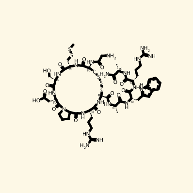 CSSC[C@@H]1NC(=O)[C@@H](NC(=O)CN)CSSC[C@@H](C(=O)N[C@@H](C)C(=O)N[C@@H](Cc2cc3ccccc3[nH]2)C(=O)N[C@@H](CCCNC(=N)N)C(=O)N[C@@H](C)C(N)=O)NC(=O)[C@H](CCCNC(=N)N)NC(=O)C2CCCN2C(=O)[C@H](CC(=O)O)NC(=O)[C@H](CO)NC1=O